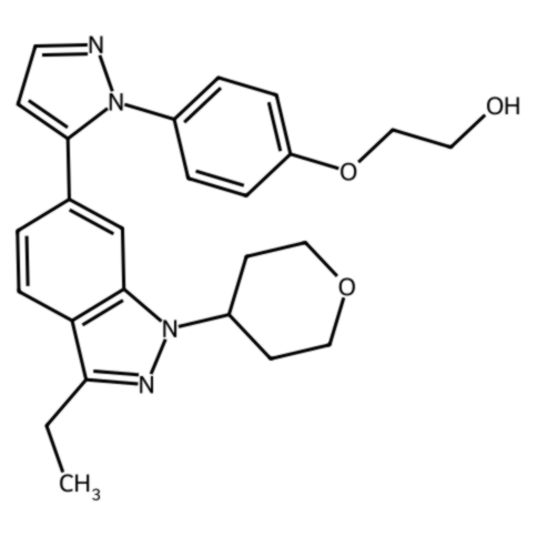 CCc1nn(C2CCOCC2)c2cc(-c3ccnn3-c3ccc(OCCO)cc3)ccc12